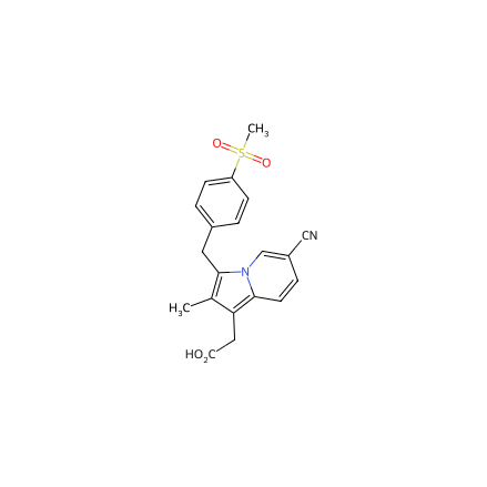 Cc1c(CC(=O)O)c2ccc(C#N)cn2c1Cc1ccc(S(C)(=O)=O)cc1